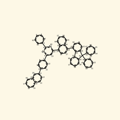 c1ccc(-c2nc(-c3ccc(-c4ccc5ccccc5c4)cc3)cc(-c3ccc(-c4cccc5c4-c4ccccc4C5(c4ccccc4)c4ccccc4)c4ccccc34)n2)cc1